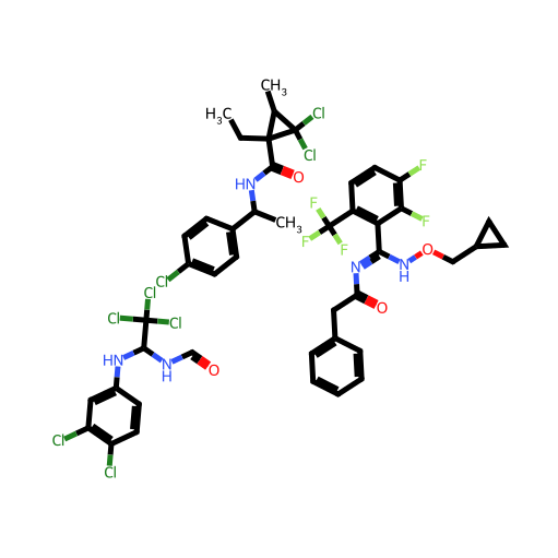 CCC1(C(=O)NC(C)c2ccc(Cl)cc2)C(C)C1(Cl)Cl.O=C(Cc1ccccc1)/N=C(\NOCC1CC1)c1c(C(F)(F)F)ccc(F)c1F.O=CNC(Nc1ccc(Cl)c(Cl)c1)C(Cl)(Cl)Cl